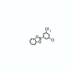 FC(F)(F)c1cc(Cl)cc(B2Oc3ccccc3O2)c1